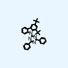 CC(C)(C)c1cc(C(C)(C)C)c2c(c1)c1ccccc1n2-c1nc(-c2ccccc2)nc(-c2ccccc2)n1